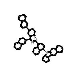 c1ccc2cc(-c3ccc4nc(-c5ccc(-n6c7ccccc7c7cc8ccccc8cc76)c6ccccc56)nc(-c5ccc6ccccc6c5)c4c3)ccc2c1